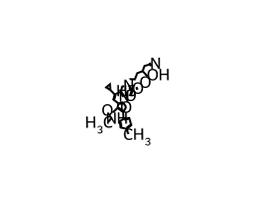 CNC(=O)c1c(-c2ccc(C)cc2)oc2nc(CN(CCCC(CC#N)C(=O)O)[SH](=O)=O)c(C3CC3)cc12